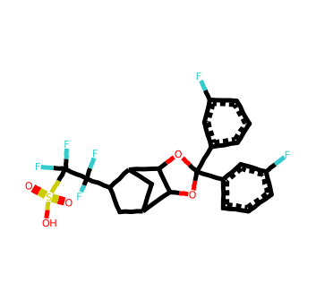 O=S(=O)(O)C(F)(F)C(F)(F)C1CC2CC1C1OC(c3cccc(F)c3)(c3cccc(F)c3)OC21